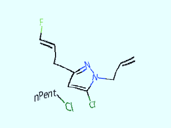 C=CCn1nc(CC=CF)cc1Cl.CCCCCCl